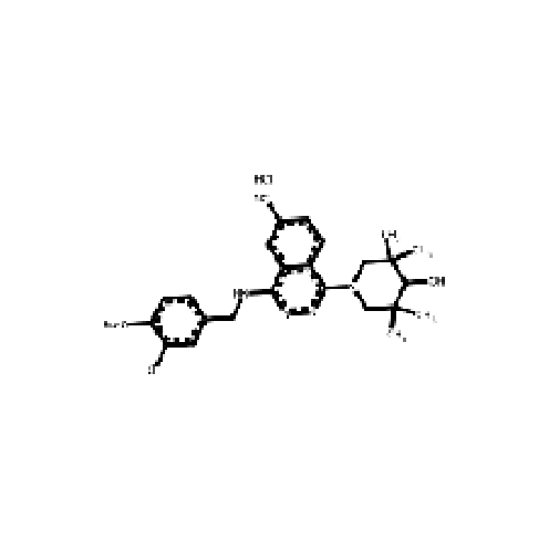 COc1ccc(CNc2nnc(N3CC(C)(C)C(O)C(C)(C)C3)c3ccc(C#N)cc23)cc1Cl.Cl